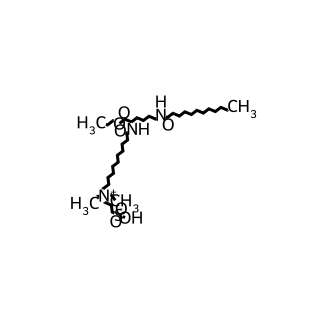 CCCCCCCCCCCC(=O)NCCCCC(NC(=O)CCCCCCCCCC[N+](CC)(CC)CCCS(=O)(=O)O)C(=O)OCCC